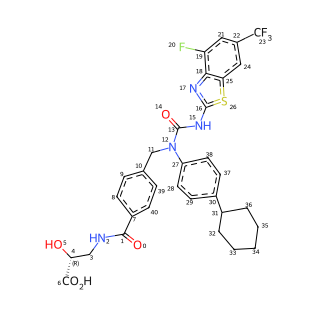 O=C(NC[C@@H](O)C(=O)O)c1ccc(CN(C(=O)Nc2nc3c(F)cc(C(F)(F)F)cc3s2)c2ccc(C3CCCCC3)cc2)cc1